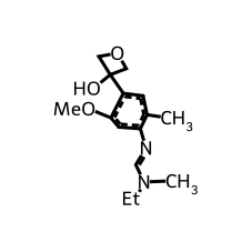 CCN(C)C=Nc1cc(OC)c(C2(O)COC2)cc1C